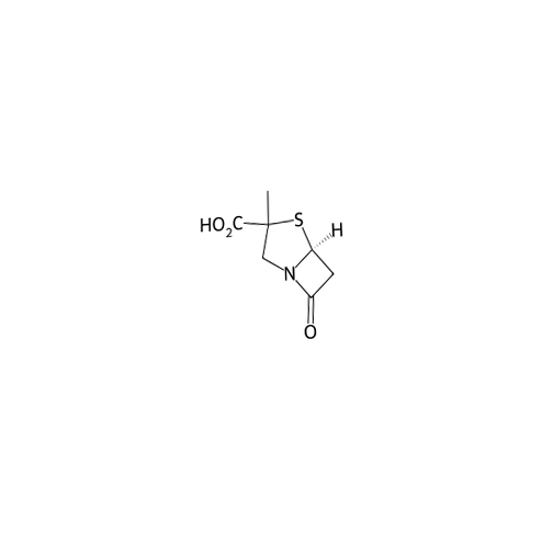 CC1(C(=O)O)CN2C(=O)C[C@@H]2S1